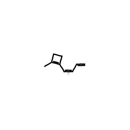 C=C/C=C\C1=C(C)CC1